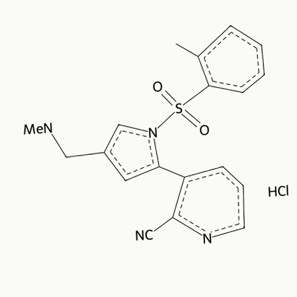 CNCc1cc(-c2cccnc2C#N)n(S(=O)(=O)c2ccccc2C)c1.Cl